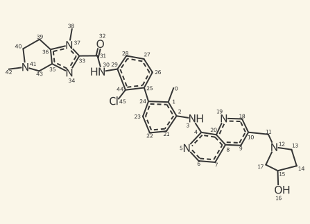 Cc1c(Nc2nccc3cc(CN4CCC(O)C4)cnc23)cccc1-c1cccc(NC(=O)c2nc3c(n2C)CCN(C)C3)c1Cl